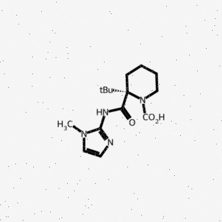 Cn1ccnc1NC(=O)[C@@]1(C(C)(C)C)CCCCN1C(=O)O